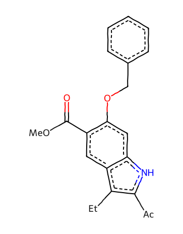 CCc1c(C(C)=O)[nH]c2cc(OCc3ccccc3)c(C(=O)OC)cc12